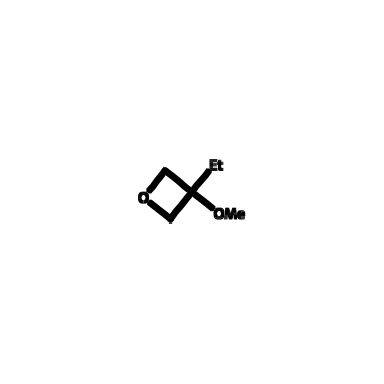 CCC1(OC)[CH]OC1